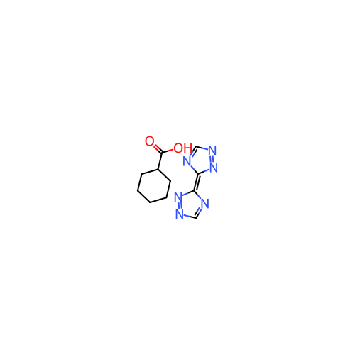 C1=NC(=C2N=CN=N2)N=N1.O=C(O)C1CCCCC1